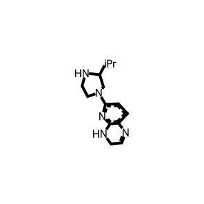 CC(C)C1CN(c2ccc3c(n2)NCC=N3)CCN1